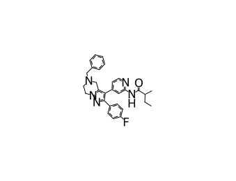 CCC(C)C(=O)Nc1cc(-c2c(-c3ccc(F)cc3)nn3c2CN(Cc2ccccc2)CC3)ccn1